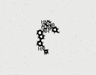 Cc1ccc(S(=O)(=O)N2CCNC(=O)[C@H]2CC(=O)N[C@@H]2CCCc3cc(-c4cccc(CNC5CCC5)c4)ccc32)cc1